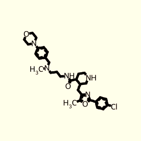 Cc1oc(-c2ccc(Cl)cc2)nc1CC1CNCCC1C(=O)NCCCN(C)Cc1ccc(N2CCOCC2)cc1